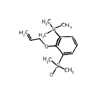 C=CCOc1c([Si](C)(C)C)cccc1[Si](C)(C)Cl